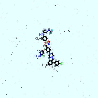 CC1(C)CCC(CN2CCN(c3ccc(C(=O)NS(=O)(=O)c4ccc(N[C@@H]5CCN(CC(F)F)C5)c([N+](=O)[O-])c4)c(Oc4cnc(N)c(Cl)c4)c3)CC2)=C(c2ccc(Cl)cc2)C1